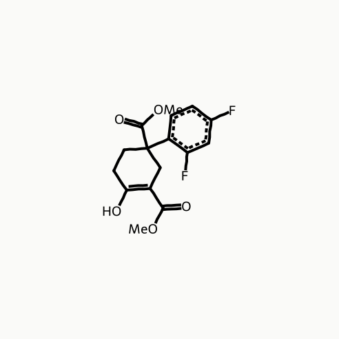 COC(=O)C1=C(O)CCC(C(=O)OC)(c2ccc(F)cc2F)C1